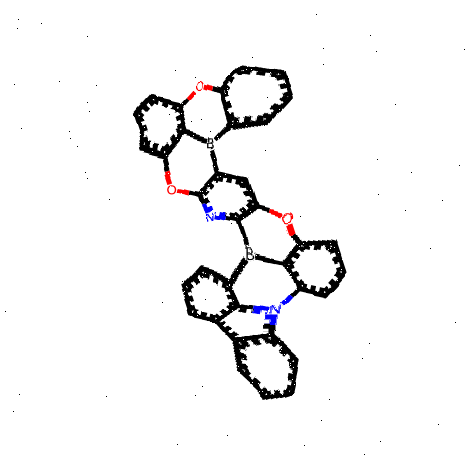 c1ccc2c(c1)Oc1cccc3c1B2c1cc2c(nc1O3)B1c3c(cccc3-n3c4ccccc4c4cccc1c43)O2